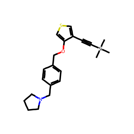 C[Si](C)(C)C#Cc1cscc1OCc1ccc(CN2CCCC2)cc1